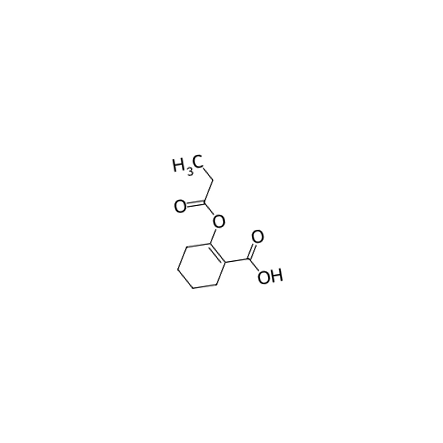 CCC(=O)OC1=C(C(=O)O)CCCC1